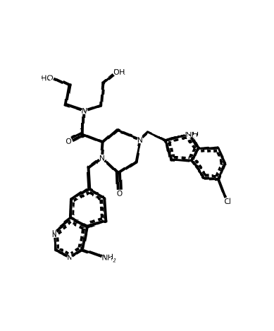 Nc1ncnc2cc(CN3C(=O)CN(Cc4cc5cc(Cl)ccc5[nH]4)CC3C(=O)N(CCO)CCO)ccc12